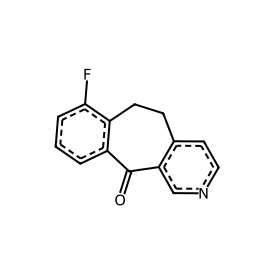 O=C1c2cnccc2CCc2c(F)cccc21